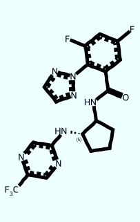 O=C(NC1CCC[C@@H]1Nc1cnc(C(F)(F)F)cn1)c1cc(F)cc(F)c1-n1nccn1